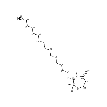 CC1=C(CCCCCCCCCCCCCCCCO)C(C)(C)CCCC1=O